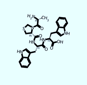 C[C@@H](N)C(=O)N1CSC[C@H]1C(=O)N[C@@H](Cc1c[nH]c2ccccc12)C(=O)N[C@@H](Cc1c[nH]c2ccccc12)C(=O)O